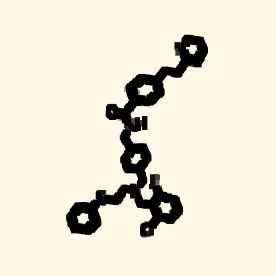 O=C(NCc1ccc(CN(CCSc2ccccc2)Cc2c(F)cccc2Cl)cc1)c1ccc(CCc2ccccn2)cc1